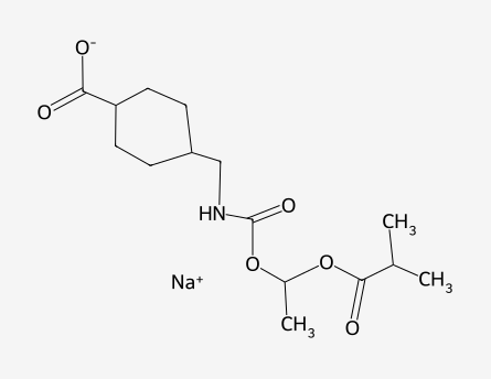 CC(OC(=O)NCC1CCC(C(=O)[O-])CC1)OC(=O)C(C)C.[Na+]